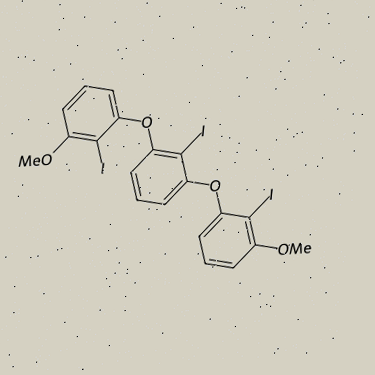 COc1cccc(Oc2cccc(Oc3cccc(OC)c3I)c2I)c1I